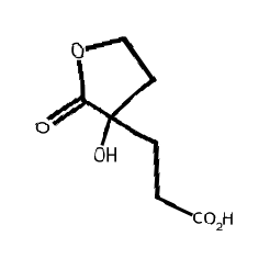 O=C(O)CCC1(O)CCOC1=O